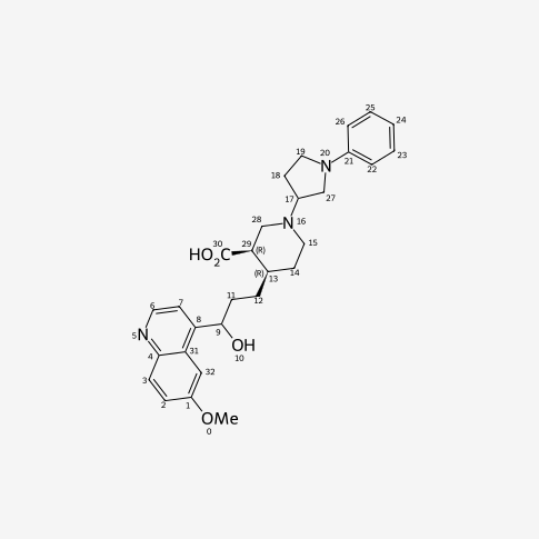 COc1ccc2nccc(C(O)CC[C@@H]3CCN(C4CCN(c5ccccc5)C4)C[C@@H]3C(=O)O)c2c1